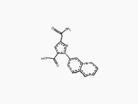 NC(=O)c1cc(C(=O)O)n(-c2ccc3ccccc3c2)n1